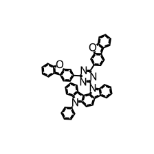 c1ccc(-n2c3ccccc3c3c2ccc2c4ccccc4n(-c4nc(-c5ccc6c(c5)oc5ccccc56)nc(-c5ccc6c(c5)oc5ccccc56)n4)c23)cc1